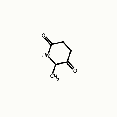 CC1NC(=O)CCC1=O